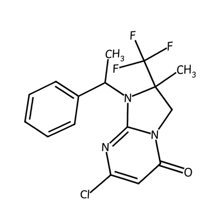 CC(c1ccccc1)N1c2nc(Cl)cc(=O)n2CC1(C)C(F)(F)F